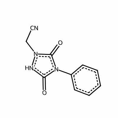 N#CCn1[nH]c(=O)n(-c2ccccc2)c1=O